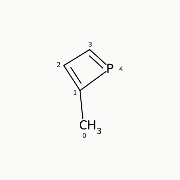 CC1=CC=P1